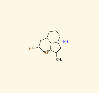 CC1CC2(N)CCCC3CC(S)CC1(S)C32